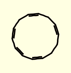 [C]1=CC=CCC=CCC=CCCC=C1